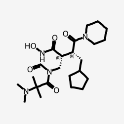 CN(C)C(C)(C)C(=O)N(C=O)C[C@H](C(=O)NO)[C@@H](CC1CCCC1)C(=O)N1CCCCC1